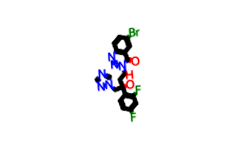 O=c1c2cc(Br)ccc2nnn1CCC(O)(Cn1cncn1)c1ccc(F)cc1F